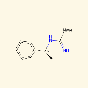 CNC(=N)N[C@@H](C)c1ccccc1